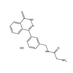 Cl.NCC(=O)NCc1cccc(-c2n[nH]c(=O)c3ccccc23)c1